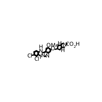 COc1cc2c(Nc3ccc(Cl)c(Cl)c3F)ncnc2cc1OCC1C[C@@H]2CN(C(=O)O)C[C@@H]2C1